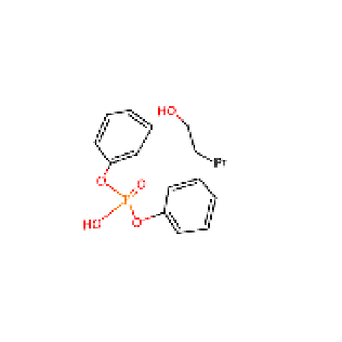 CC(C)CCO.O=P(O)(Oc1ccccc1)Oc1ccccc1